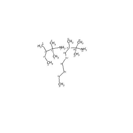 CCC(C)C(C)(C)N.CCCCCCC(C)C(C)(C)N